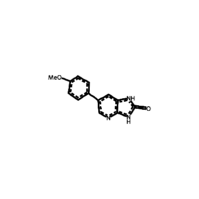 COc1ccc(-c2cnc3[nH]c(=O)[nH]c3c2)cc1